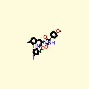 COc1ccc([C@H]2NC(=O)N(C(Cc3ccc(C)cc3)C(=O)Nc3ccc(I)cc3F)C2=O)cc1